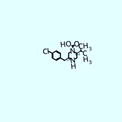 CC(C)[C@H]1CN[C@@H](Cc2ccc(Cl)cc2)CN1C(=O)O